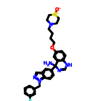 NC1(c2ccc3c(cnn3Cc3cccc(F)c3)c2)N=CNc2ccc(OCCCCN3CC[S+]([O-])CC3)cc21